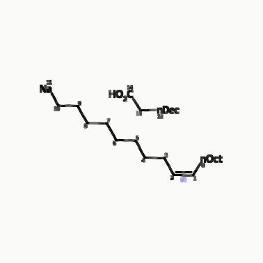 CCCCCCCC/C=C\CCCCCCC[CH2][Na].CCCCCCCCCCCC(=O)O